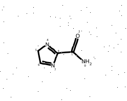 NC(=O)C1=NCC=N1